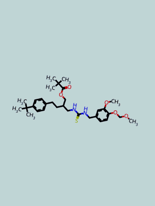 COCOc1ccc(CNC(=S)NCC(CCc2ccc(C(C)(C)C)cc2)COC(=O)C(C)(C)C)cc1OC